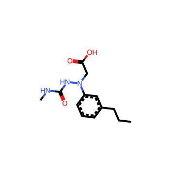 CCCc1cccc(N(CC(=O)O)NC(=O)NC)c1